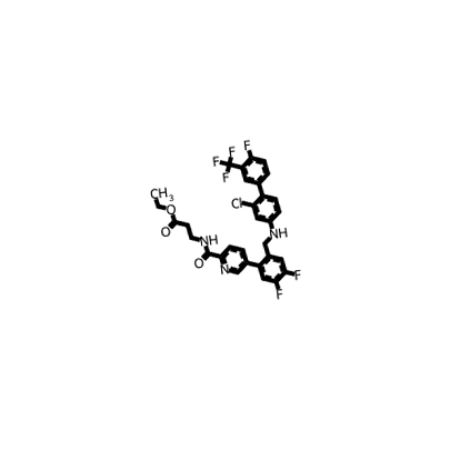 CCOC(=O)CCNC(=O)c1ccc(-c2cc(F)c(F)cc2CNc2ccc(-c3ccc(F)c(C(F)(F)F)c3)c(Cl)c2)cn1